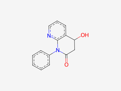 O=C1CC(O)c2cccnc2N1c1ccccc1